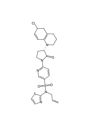 C=CCN(c1nccs1)S(=O)(=O)c1ccc(N2CC[C@H](N3CCCC4=C3C=CC(Cl)C4)C2=O)nc1